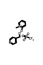 C[n+]1ccccc1OOCc1ccncc1.O=S(=O)([O-])C(F)(F)F